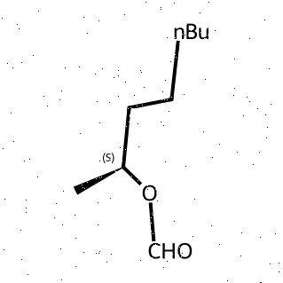 CCCCCC[C@H](C)OC=O